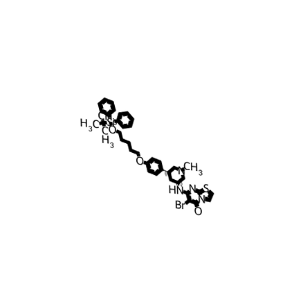 CN1C[C@H](Nc2nc3sccn3c(=O)c2Br)C[C@H](c2ccc(OCCCCCO[Si](c3ccccc3)(c3ccccc3)C(C)(C)C)cc2)C1